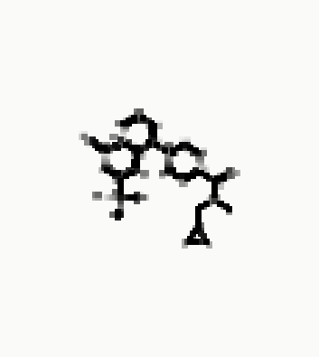 CN(CC1CC1)C(=O)c1ccc(-c2cccn3c(=O)cc(C(F)(F)F)nc23)cc1